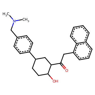 CN(C)Cc1ccc(C2CCC(O)C(C(=O)Cc3cccc4ccccc34)C2)cc1